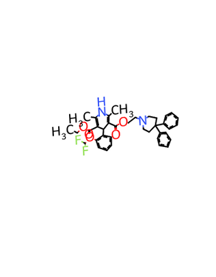 CCOC(=O)C1=C(C)NC(C)=C(C(=O)OCCN2CCC(c3ccccc3)(c3ccccc3)CC2)C1c1ccccc1OC(F)F